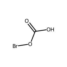 O=C(O)OBr